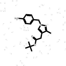 Cc1nn(Cc2ccc(N)cc2)cc1CC(=O)OC(C)(C)C